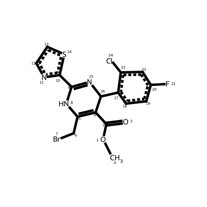 COC(=O)C1=C(CBr)NC(c2nccs2)=NC1c1ccc(F)cc1Cl